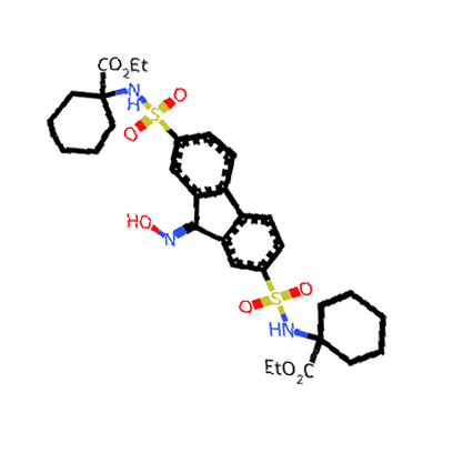 CCOC(=O)C1(NS(=O)(=O)c2ccc3c(c2)C(=NO)c2cc(S(=O)(=O)NC4(C(=O)OCC)CCCCC4)ccc2-3)CCCCC1